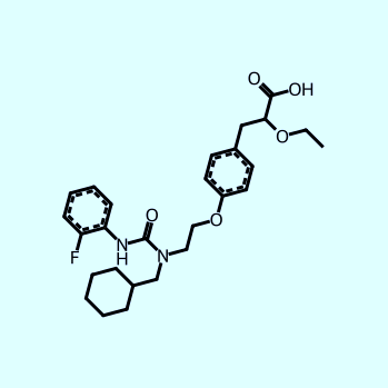 CCOC(Cc1ccc(OCCN(CC2CCCCC2)C(=O)Nc2ccccc2F)cc1)C(=O)O